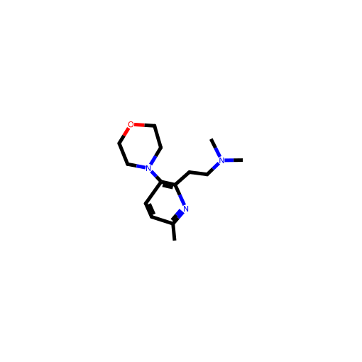 Cc1ccc(N2CCOCC2)c(CCN(C)C)n1